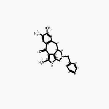 Cc1cc2c(cc1C)C(=O)c1c(N)sc3c1C(C2)CN(Cc1ccccc1)C3